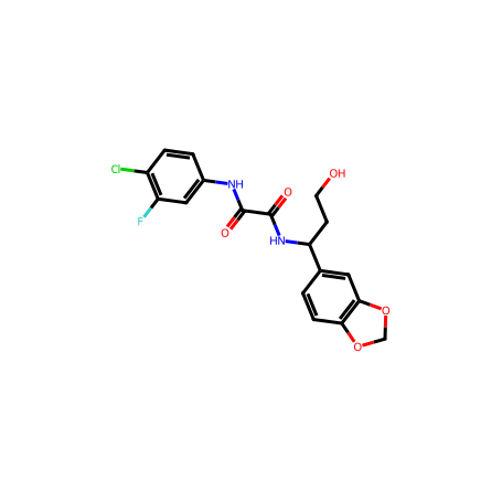 O=C(Nc1ccc(Cl)c(F)c1)C(=O)NC(CCO)c1ccc2c(c1)OCO2